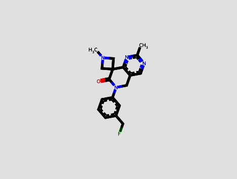 Cc1ncc2c(n1)C1(CN(C)C1)C(=O)N(c1cccc(CF)c1)C2